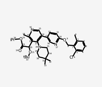 Cc1cccc(Cl)c1COc1ccc(-c2cnc(C)c(C(OC(C)(C)C)C(=O)OC(C)C)c2N2CCC(C)(C)CC2)cn1